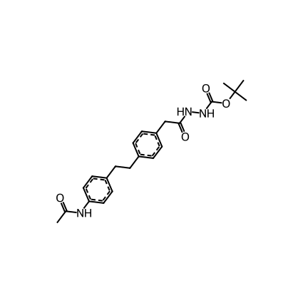 CC(=O)Nc1ccc(CCc2ccc(CC(=O)NNC(=O)OC(C)(C)C)cc2)cc1